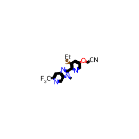 CCSc1cc(OCC#N)cnc1-c1nc2cc(C(F)(F)F)ncc2n1C